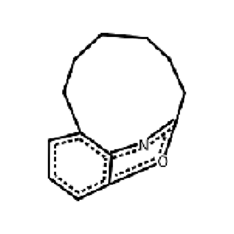 c1cc2c3nc(oc3c1)CCCCCC2